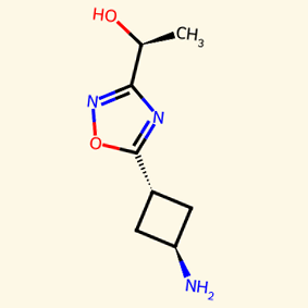 C[C@H](O)c1noc([C@H]2C[C@H](N)C2)n1